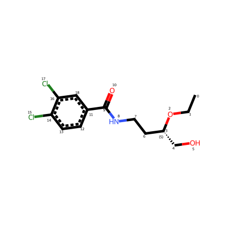 CCO[C@H](CO)CCNC(=O)c1ccc(Cl)c(Cl)c1